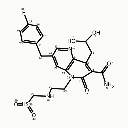 NC(=O)c1c(CC(O)O)c2ncc(Cc3ccc(F)cc3)cc2n(CCNC[SH](=O)=O)c1=O